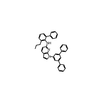 CCCc1cccc(-c2ccccc2)c1Nc1ccc2ccn(-c3cc(-c4ccccc4)cc(-c4ccccc4)c3)c2n1